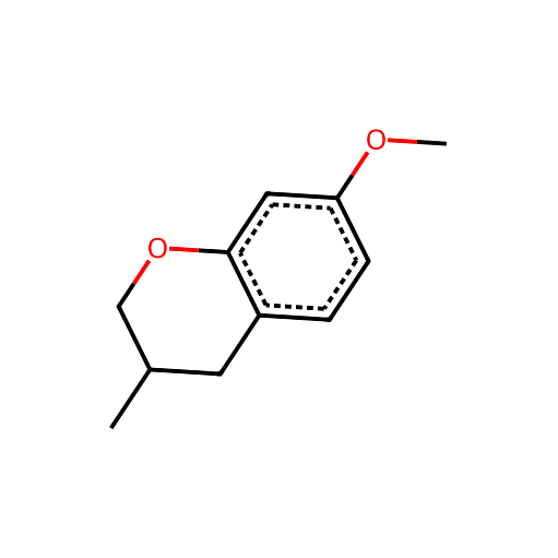 COc1ccc2c(c1)OCC(C)C2